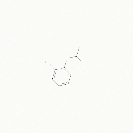 [CH2]C(O)Oc1ccccc1Br